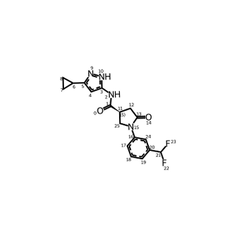 O=C(Nc1cc(C2CC2)n[nH]1)[C@H]1CC(=O)N(c2cccc(C(F)F)c2)C1